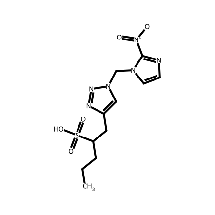 CCCC(Cc1cn(Cn2ccnc2[N+](=O)[O-])nn1)S(=O)(=O)O